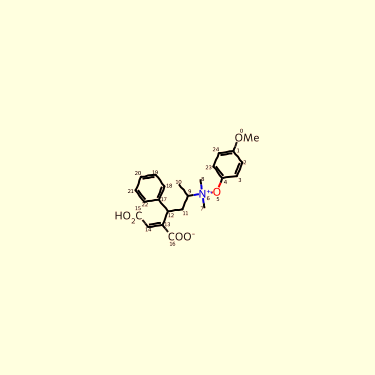 COc1ccc(O[N+](C)(C)C(C)CC(/C(=C\C(=O)O)C(=O)[O-])c2ccccc2)cc1